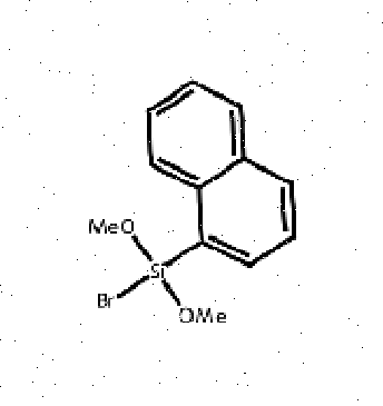 CO[Si](Br)(OC)c1cccc2ccccc12